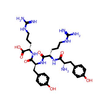 N=C(N)NCCC[C@H](NC(=O)[C@H](Cc1ccc(O)cc1)NC(=O)[C@H](CCCNC(=N)N)NC(=O)[C@@H](N)Cc1ccc(O)cc1)C(=O)O